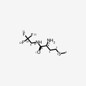 CSCCC(N)C(=O)NCC(F)(F)F